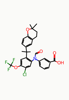 CC1(C)CCc2cc(C(C)(C)c3cc(OC(F)(F)F)c(Cl)cc3N(C=O)c3cccc(C(=O)O)c3)ccc2O1